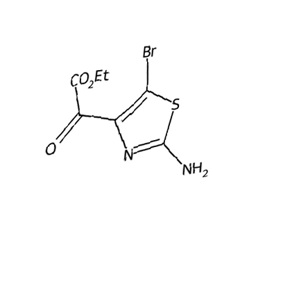 CCOC(=O)C(=O)c1nc(N)sc1Br